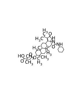 CC(C)C1=C2C3CCC4[C@@](C)(CCC5C(C)(C)[C@@H](OC(=O)CC(C)(C)C(=O)O)CC[C@@]54C)C3CC[C@@]2(NC(=O)NC2CCCCC2)CC1=O